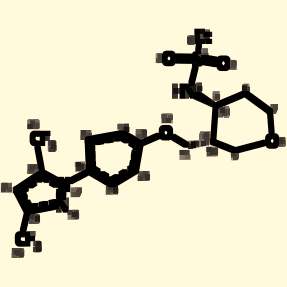 CCS(=O)(=O)N[C@H]1CCOC[C@@H]1COc1ccc(-n2nc(C(F)(F)F)cc2C(F)(F)F)cc1